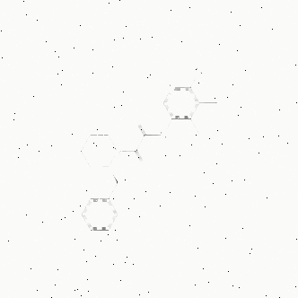 Cc1c(NC(=O)C(=O)N2C[C@@H](C)CC[C@@H]2Cc2ccccc2)cnc(N)c1C